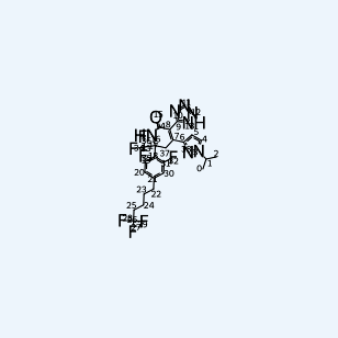 CC(C)n1ccc(C2=C(c3nnn[nH]3)C(=O)NC(c3ccc(CCCCC(F)(F)F)cc3F)(C(F)(F)F)C2)n1